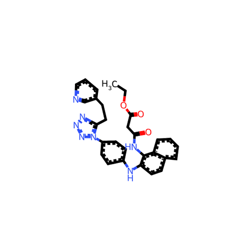 CCOC(=O)CC(=O)Nc1c(Nc2ccc(-n3nnnc3CCc3cccnc3)cc2)ccc2ccccc12